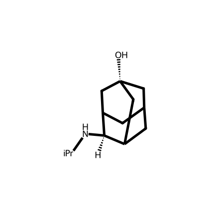 CC(C)N[C@H]1C2CC3CC1C[C@](O)(C3)C2